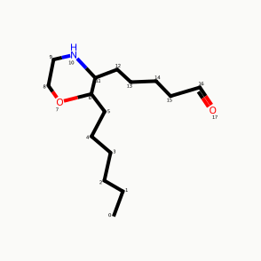 CCCCCCC1OCCNC1CCCCC=O